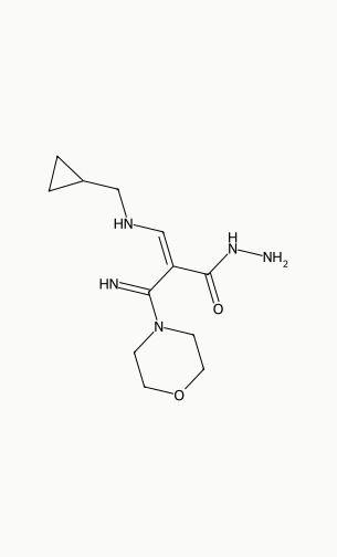 N=C(/C(=C\NCC1CC1)C(=O)NN)N1CCOCC1